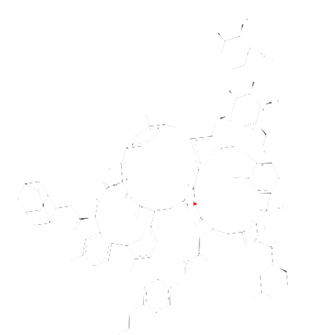 CCOc1ccc(SNC(=O)C[C@@H]2CC(=O)[C@H](NC(=O)[C@@H](CC)CC(C)C)[C@H](O)c3ccc(c(Cl)c3)Oc3cc4cc(c3O[C@@H]3O[C@H](CO)[C@H](O)[C@H](O)[C@@H]3O[C@H]3C[C@](C)(N)[C@H](O)[C@H](C)O3)Oc3ccc(cc3Cl)[C@H](O)[C@H]3NC(=O)[C@@H](CC(=O)[C@@H]4NC2=O)c2ccc(O)c(c2)-c2c(O)cc(O)cc2[C@@H](C(=O)CC2C4CC5CC(C4)CC2C5)NC3=O)cc1